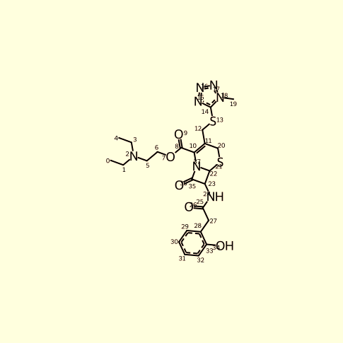 CCN(CC)CCOC(=O)C1=C(CSc2nnnn2C)CSC2C(NC(=O)Cc3ccccc3O)C(=O)N12